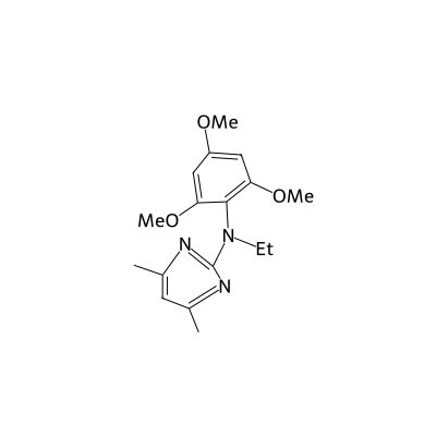 CCN(c1nc(C)cc(C)n1)c1c(OC)cc(OC)cc1OC